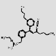 CCCCC(=C=[N+]=[N-])C=C(c1cccc(CC)c1)c1cccc(CCCC)c1.C[CH2][Ni][CH2]C